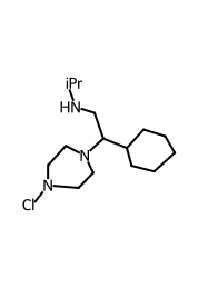 CC(C)NCC(C1CCCCC1)N1CCN(Cl)CC1